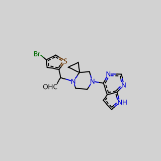 O=CC(c1cc(Br)cs1)N1CCN(c2ncnc3[nH]ccc23)CC12CC2